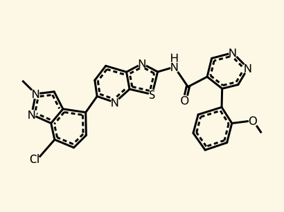 COc1ccccc1-c1cnncc1C(=O)Nc1nc2ccc(-c3ccc(Cl)c4nn(C)cc34)nc2s1